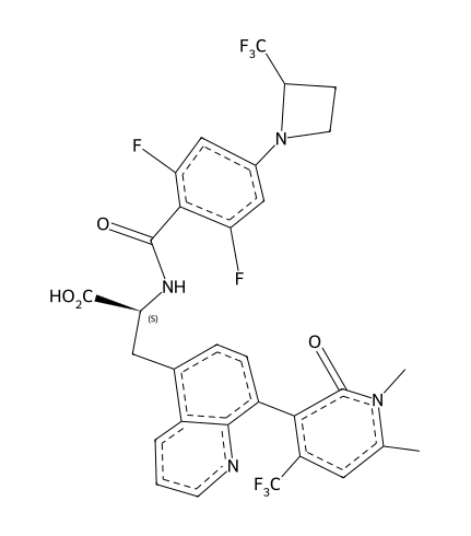 Cc1cc(C(F)(F)F)c(-c2ccc(C[C@H](NC(=O)c3c(F)cc(N4CCC4C(F)(F)F)cc3F)C(=O)O)c3cccnc23)c(=O)n1C